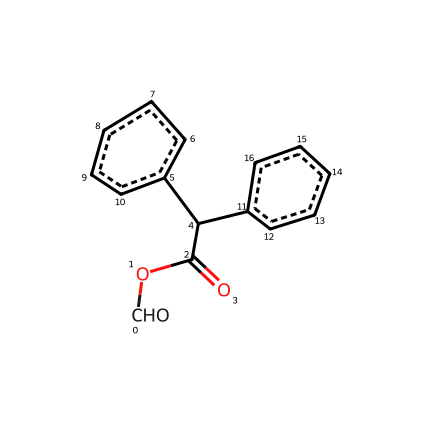 O=COC(=O)C(c1ccccc1)c1ccccc1